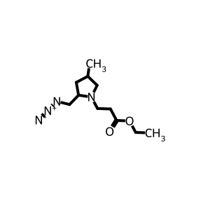 CCOC(=O)CCN1CC(C)CC1CN=[N+]=[N-]